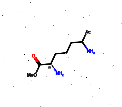 COC(=O)[C@@H](N)CCCC(N)C(C)=O